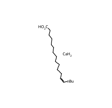 CCCC/C=C\CCCCCCCCCCCC(=O)O.[CaH2]